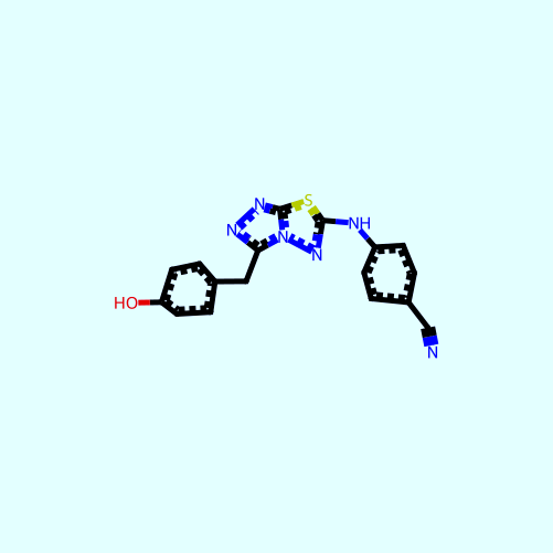 N#Cc1ccc(Nc2nn3c(Cc4ccc(O)cc4)nnc3s2)cc1